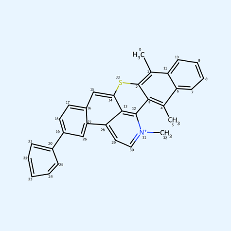 Cc1c2c(c(C)c3ccccc13)-c1c3c(cc4ccc(-c5ccccc5)cc4c3cc[n+]1C)S2